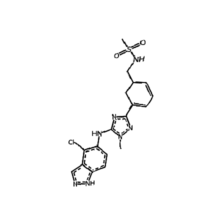 Cn1nc(C2=CC=CC(CNS(C)(=O)=O)C2)nc1Nc1ccc2[nH]ncc2c1Cl